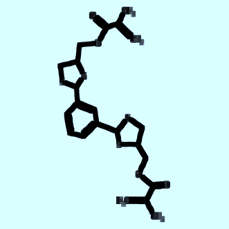 C=C(C)C(=O)OCC1CSC(c2cccc(C3SCC(COC(=O)C(=C)C)S3)c2)S1